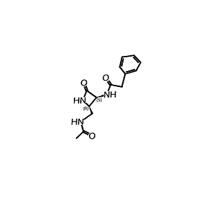 CC(=O)NC[C@H]1NC(=O)[C@H]1NC(=O)Cc1ccccc1